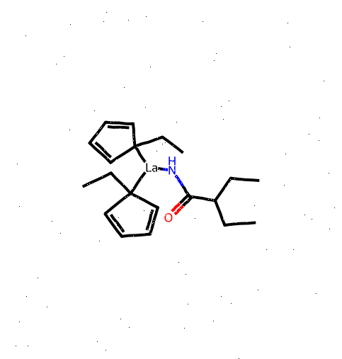 CCC(CC)C(=O)[NH][La]([C]1(CC)C=CC=C1)[C]1(CC)C=CC=C1